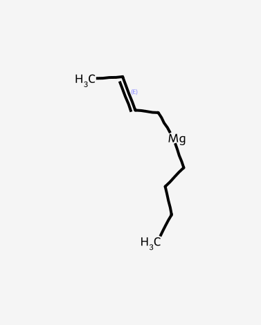 C/C=C/[CH2][Mg][CH2]CCC